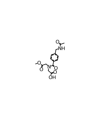 COC(=O)CN(CC(=O)O)C(=O)c1ccc(CNC(C)=O)cc1